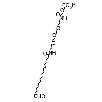 O=CCCCCCCCCCCCCCCCCC(=O)NCCCOCCOCCOCCCNC(=O)COCC(=O)O